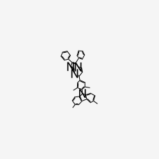 Cc1ccc2c(c1)c1cc(C)ccc1n2-c1c(C)cc(-c2ccn3c(-c4ccccc4)c(-c4ccccc4)nc3n2)cc1C